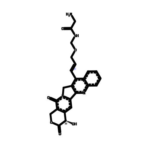 NCC(=O)NCOC/C=C/c1c2c(nc3ccccc13)-c1cc3c(c(=O)n1C2)COC(=O)[C@H]3O